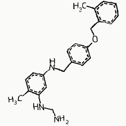 Cc1ccccc1COc1ccc(CNc2ccc(C)c(NCN)c2)cc1